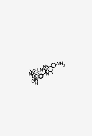 Cc1nc(CS(=O)(=O)Nc2ccc(-c3nc(C(C)C)n4c(C5=CCC(N)CC5)cnc(N)c34)cc2F)cs1